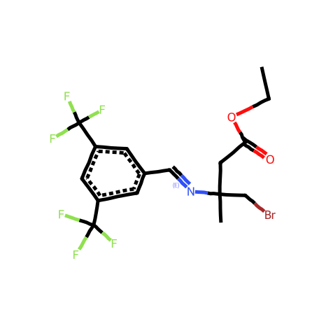 CCOC(=O)CC(C)(CBr)/N=C/c1cc(C(F)(F)F)cc(C(F)(F)F)c1